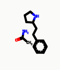 CC(N)=O.c1ccc(CCC2CCCN2)cc1